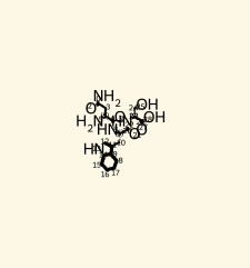 NC(=O)C[C@H](N)C(=O)N[C@@H](Cc1c[nH]c2ccccc12)C(=O)N[C@@H](CO)C(=O)O